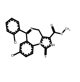 COC(=O)c1[nH]c(=S)n2c1CN=C(c1ccccc1Cl)c1cc(Cl)ccc1-2